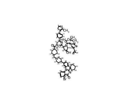 Cc1ncsc1-c1ccc([C@H](CNC(=O)C2CCC(CN3CCC(c4ccc5c(c4)-n4c(nc(=O)c6c(Br)cccc64)C54CCCCC4)CC3)CC2)NC(=O)[C@@H]2C[C@@H](O)CN2C(=O)[C@@H](n2cc(C3CC3)nn2)C(C)(C)C)cc1